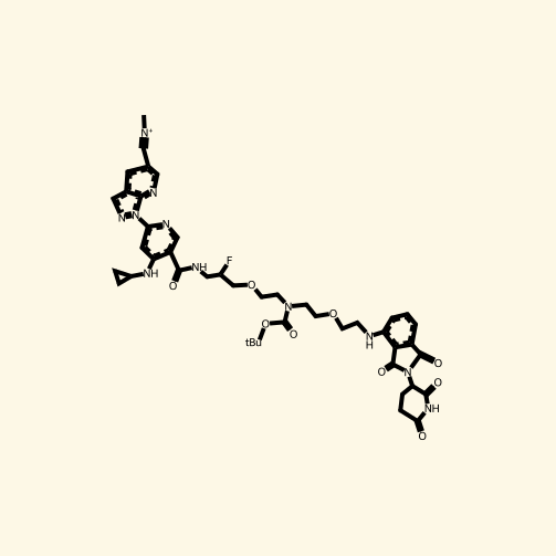 C[N+]#Cc1cnc2c(cnn2-c2cc(NC3CC3)c(C(=O)NCC(F)COCCN(CCOCCNc3cccc4c3C(=O)N(C3CCC(=O)NC3=O)C4=O)C(=O)OC(C)(C)C)cn2)c1